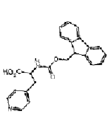 O=C(N[C@@H](Cc1ccncc1)C(=O)O)OCC1c2ccccc2-c2ccccc21